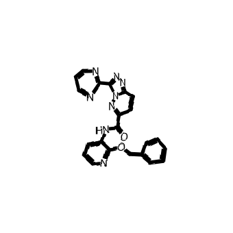 O=C(Nc1cccnc1OCc1ccccc1)c1ccc2nnc(-c3ncccn3)n2n1